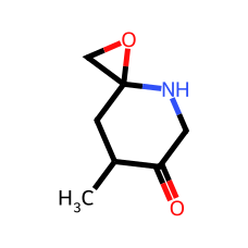 CC1CC2(CO2)NCC1=O